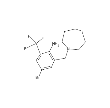 Nc1c(CN2CCCCCC2)cc(Br)cc1C(F)(F)F